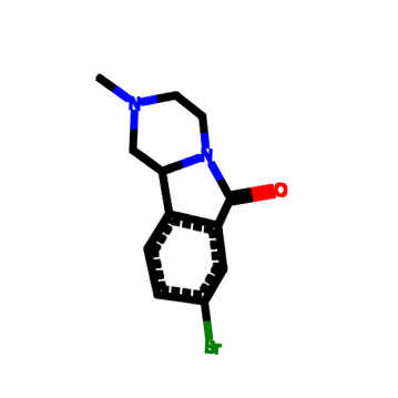 CN1CCN2C(=O)c3cc(Br)ccc3C2C1